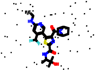 CC(NC(=O)c1nc(C(=O)N2C3CCC2CC3)c(-c2cnc(NCC(F)(F)F)cc2C(F)F)s1)C(C)(C)O